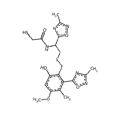 COc1cc(O)c(CSCC(NC(=O)CS)c2nc(C)no2)c(-c2nc(C)no2)c1C